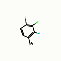 CCCc1ccc(I)c(Cl)c1F